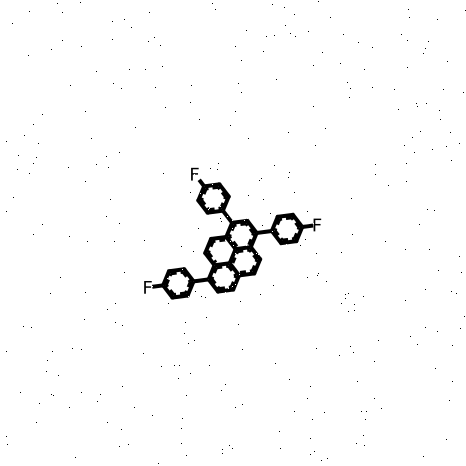 Fc1ccc(-c2ccc3ccc4c(-c5ccc(F)cc5)cc(-c5ccc(F)cc5)c5ccc2c3c45)cc1